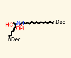 CCCCCCCCCCCCCCCCCCCCCCCCC(=O)NC(CO)C(O)CCCCCCCCCCCCCCC